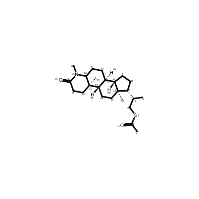 CC(=O)SCC(C)[C@H]1CC[C@H]2[C@@H]3CCC4N(C)C(=O)CC[C@]4(C)[C@H]3CC[C@]12C